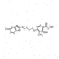 Cc1c(OCCCCSc2nc3cc(Cl)ccc3o2)ccc(C(=O)CC(C)C)c1O